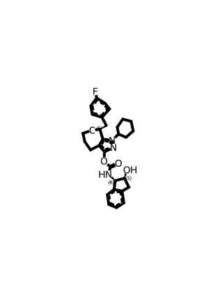 O=C(N[C@@H]1c2ccccc2C[C@@H]1O)Oc1nn(C2CCCCC2)c2c1CCCC[C@H]2Cc1ccc(F)cc1